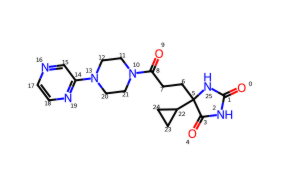 O=C1NC(=O)C(CCC(=O)N2CCN(c3cnccn3)CC2)(C2CC2)N1